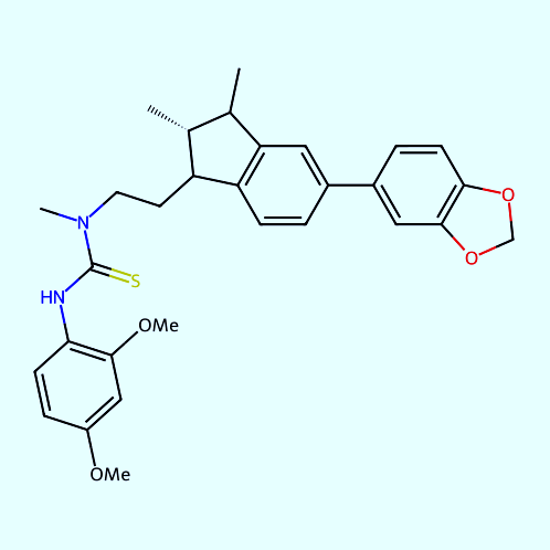 COc1ccc(NC(=S)N(C)CCC2c3ccc(-c4ccc5c(c4)OCO5)cc3C(C)[C@H]2C)c(OC)c1